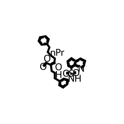 CCCC1(CCc2ccccc2)CC(O)=C(CCCc2cccc(NS(=O)(=O)c3cccc4cccnc34)c2)C(=O)O1